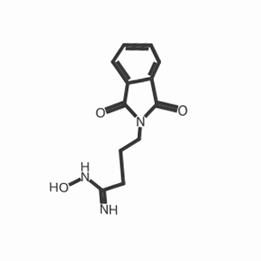 N=C(CCCN1C(=O)c2ccccc2C1=O)NO